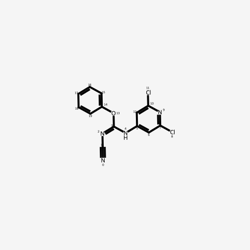 N#C/N=C(\Nc1cc(Cl)nc(Cl)c1)Oc1ccccc1